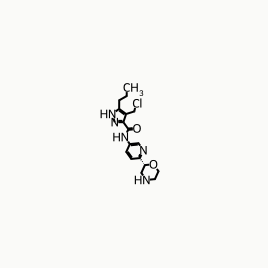 CCCc1[nH]nc(C(=O)Nc2ccc([C@H]3CNCCO3)nc2)c1CCl